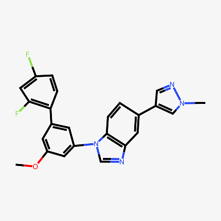 COc1cc(-c2ccc(F)cc2F)cc(-n2cnc3cc(-c4cnn(C)c4)ccc32)c1